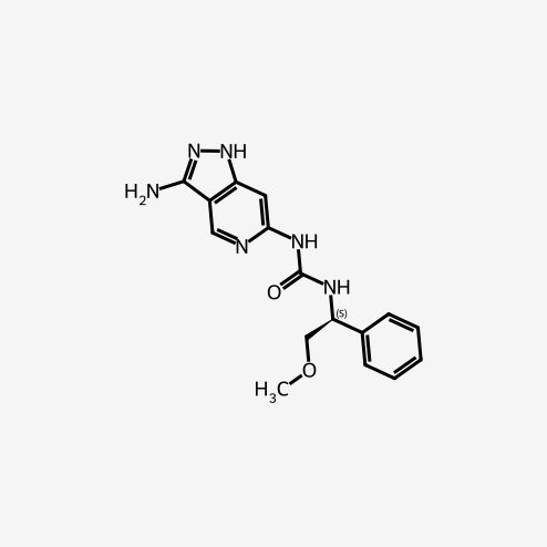 COC[C@@H](NC(=O)Nc1cc2[nH]nc(N)c2cn1)c1ccccc1